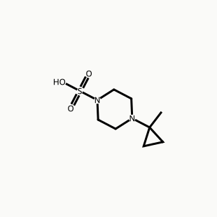 CC1(N2CCN(S(=O)(=O)O)CC2)CC1